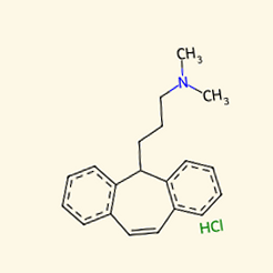 CN(C)CCCC1c2ccccc2C=Cc2ccccc21.Cl